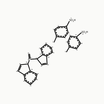 Cc1ccc(S(=O)(=O)O)cc1.Cc1ccc(S(=O)(=O)O)cc1.[CH2]=[Zr]([CH]1C=Cc2ccccc21)[CH]1C=Cc2ccccc21